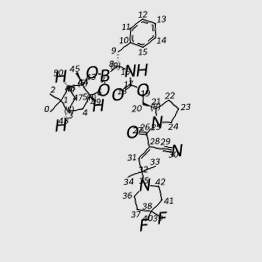 CC1(C)[C@@H]2C[C@H]3OB([C@H](Cc4ccccc4)NC(=O)OC[C@H]4CCCN4C(=O)C(C#N)=CC(C)(C)N4CCC(F)(F)CC4)O[C@@]3(C)[C@H]1C2